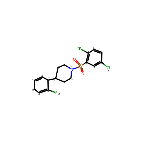 O=S(=O)(c1cc(Cl)ccc1F)N1CCC(C2C=CCC=C2F)CC1